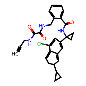 C#CCNC(=O)C(=O)NCc1ccccc1C(=O)NC1(c2cc(Cl)c3c(c2)=CC(C2CC2)CC=3)CC1